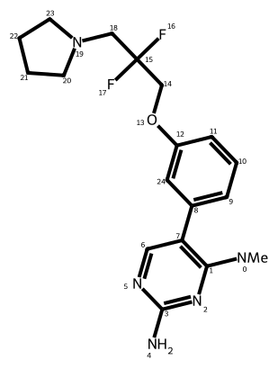 CNc1nc(N)ncc1-c1cccc(OCC(F)(F)CN2CCCC2)c1